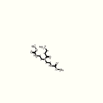 CC(C)(C)OC(=O)NCCN(CCNC(=O)OC(C)(C)C)C(=O)CCC(=O)O